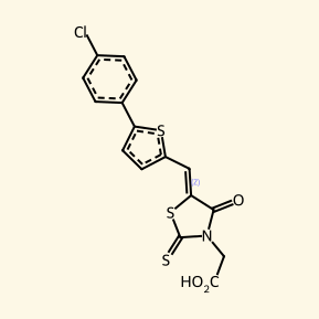 O=C(O)CN1C(=O)/C(=C/c2ccc(-c3ccc(Cl)cc3)s2)SC1=S